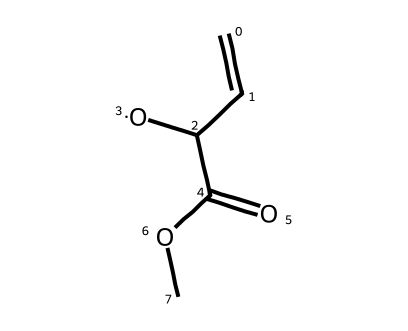 C=CC([O])C(=O)OC